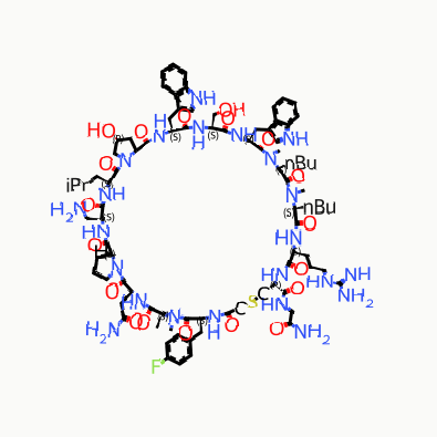 CCCC[C@H]1C(=O)N(C)[C@@H](CCCC)C(=O)N[C@@H](CCCNC(=N)N)C(=O)N[C@H](C(=O)NCC(N)=O)CSCC(=O)N[C@@H](Cc2ccc(F)cc2)C(=O)N(C)[C@@H](C)C(=O)NC(CC(N)=O)C(=O)N2CCC[C@H]2C(=O)N[C@@H](CN)C(=O)N[C@@H](CC(C)C)C(=O)N2C[C@H](O)CC2C(=O)N[C@@H](Cc2c[nH]c3ccccc23)C(=O)N[C@@H](CO)C(=O)N[C@@H](Cc2c[nH]c3ccccc23)C(=O)N1C